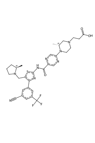 C[C@@H]1CCCN1Cc1sc(NC(=O)c2cnc(N3CCN(CCC(=O)O)C[C@H]3C)cn2)nc1-c1cc(C#N)cc(C(F)(F)F)c1